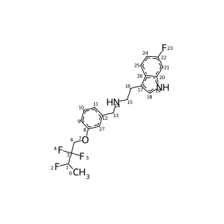 CC(F)C(F)(F)COc1cccc(CNCCc2c[nH]c3cc(F)ccc23)c1